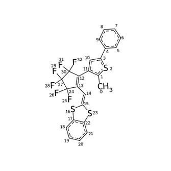 Cc1sc(-c2ccccc2)cc1C1=C(C=C2Sc3ccccc3S2)C(F)(F)C(F)(F)C1(F)F